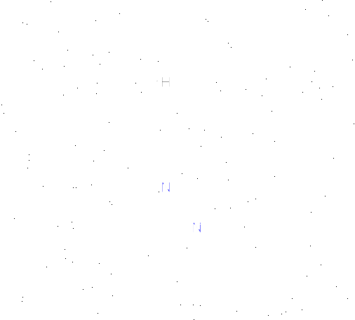 [2H]c1ccc2nccn2c1